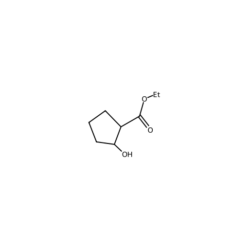 CCOC(=O)C1CCCC1O